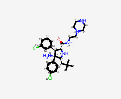 CC(C)(C)C[C@@H]1N[C@@H](C(=O)NCCN2CCNCC2)[C@H](c2cccc(Cl)c2)[C@@]1(N)c1ccc(Cl)cc1